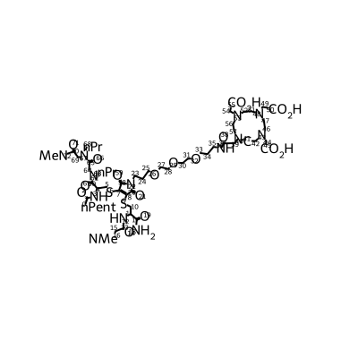 CCCCCC(=O)NC(CSC1=C(SCC(NC(=O)CNC)C(N)=O)C(=O)N(CCCOCCOCCOCCCNC(=O)CN2CCN(CC(=O)O)CCN(CC(=O)O)CCN(CC(=O)O)CC2)C1=O)C(=O)N(CCC)CC(=O)N(CCC)CC(=O)NC